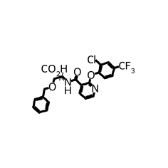 O=C(N[C@H](COCc1ccccc1)C(=O)O)c1cccnc1Oc1ccc(C(F)(F)F)cc1Cl